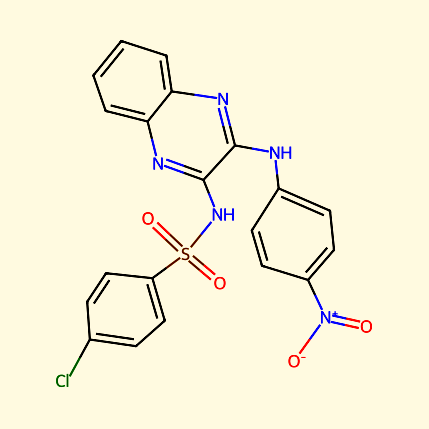 O=[N+]([O-])c1ccc(Nc2nc3ccccc3nc2NS(=O)(=O)c2ccc(Cl)cc2)cc1